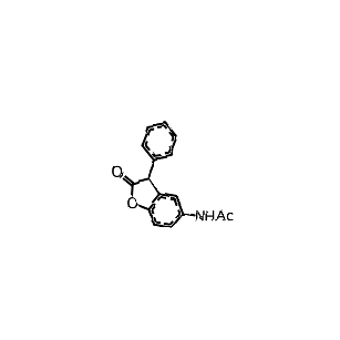 CC(=O)Nc1ccc2c(c1)C(c1ccccc1)C(=O)O2